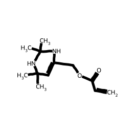 C=CC(=O)OCC1=CC(C)(C)NC(C)(C)N1